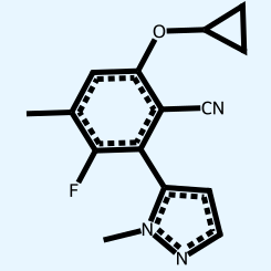 Cc1cc(OC2CC2)c(C#N)c(-c2ccnn2C)c1F